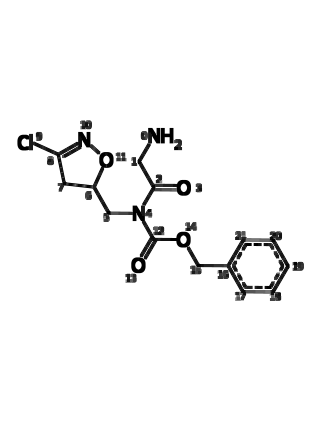 NCC(=O)N(CC1CC(Cl)=NO1)C(=O)OCc1ccccc1